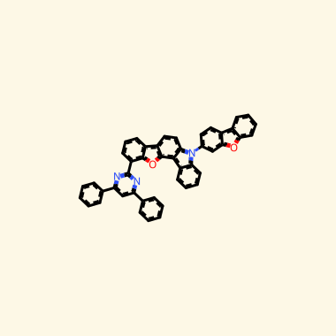 c1ccc(-c2cc(-c3ccccc3)nc(-c3cccc4c3oc3c4ccc4c3c3ccccc3n4-c3ccc4c(c3)oc3ccccc34)n2)cc1